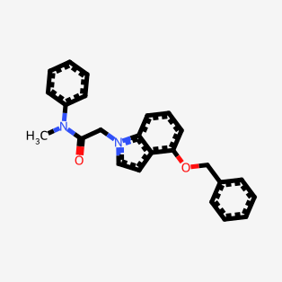 CN(C(=O)Cn1ccc2c(OCc3ccccc3)cccc21)c1ccccc1